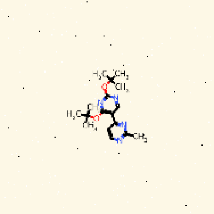 Cc1nccc(-c2cnc(OC(C)(C)C)nc2OC(C)(C)C)n1